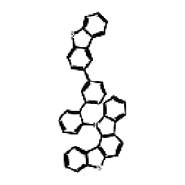 c1cc(-c2ccc3sc4ccccc4c3c2)cc(-c2ccccc2-n2c3ccccc3c3ccc4sc5ccccc5c4c32)c1